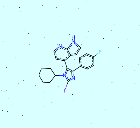 Fc1ccc(-c2nc(I)n(C3CCCCC3)c2-c2ccnc3[nH]ccc23)cc1